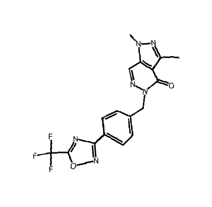 Cc1nn(C)c2cnn(Cc3ccc(-c4noc(C(F)(F)F)n4)cc3)c(=O)c12